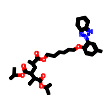 Cc1ccc(OCCCCCCOC(=O)C(C)CC(C(=O)OC(C)C)C(C)C(=O)OC(C)C)c(-n2nc3ccccc3n2)c1